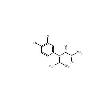 CC(C)N(C(=O)N(C)C)c1ccc(Cl)c(Cl)c1